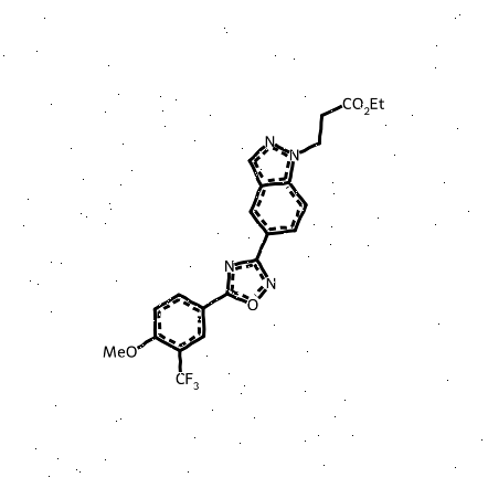 CCOC(=O)CCn1ncc2cc(-c3noc(-c4ccc(OC)c(C(F)(F)F)c4)n3)ccc21